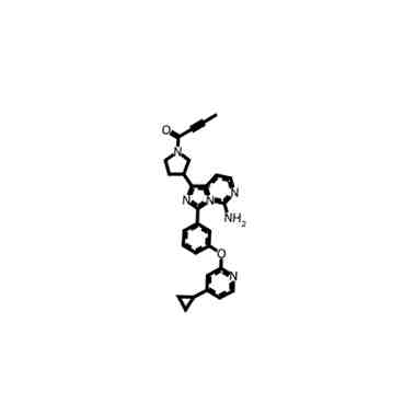 CC#CC(=O)N1CCC(c2nc(-c3cccc(Oc4cc(C5CC5)ccn4)c3)n3c(N)nccc23)C1